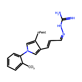 CCCCCc1cn(-c2ccccc2C(Cl)(Cl)Cl)cc1/C=C/C=N\NC(=N)N